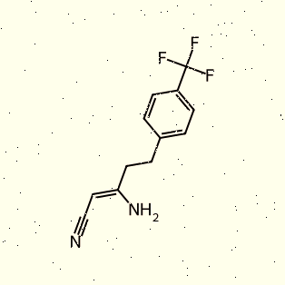 N#CC=C(N)CCc1ccc(C(F)(F)F)cc1